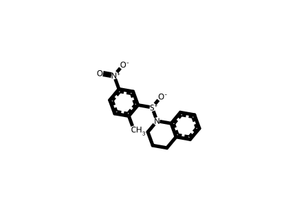 Cc1ccc([N+](=O)[O-])cc1[S+]([O-])N1CCCc2ccccc21